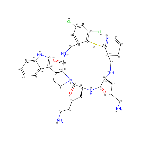 CCN1C(=O)[C@H](CCCCN)NC(=O)[C@H](CCCN)NCc2cccnc2Sc2c(Cl)cc(Cl)cc2CNC(=O)[C@@H]1Cc1c[nH]c2ccccc12